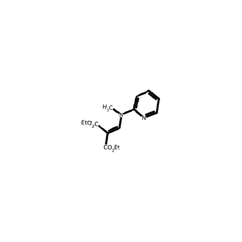 CCOC(=O)C(=CN(C)c1ccccn1)C(=O)OCC